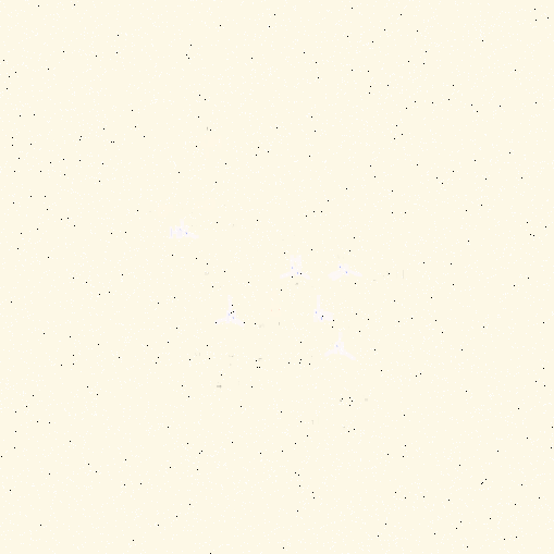 Cc1cc(N2CCC(F)(F)CC2)nc(NC(=O)c2c(C)cc(NS(=O)(=O)CCO)cc2N2CCC3(CC2)CC3)n1